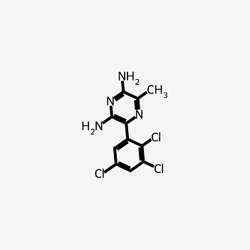 Cc1nc(-c2cc(Cl)cc(Cl)c2Cl)c(N)nc1N